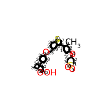 Cc1cc(OC2CCS(=O)(=O)CC2)ccc1-c1csc2ccc(COc3ccc(C4(CC(=O)O)CCC4)cc3)cc12